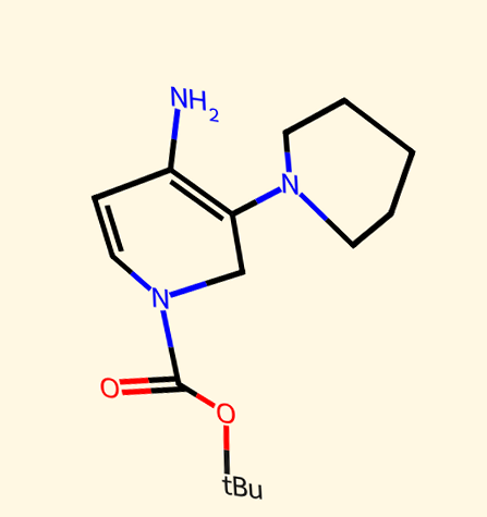 CC(C)(C)OC(=O)N1C=CC(N)=C(N2CCCCC2)C1